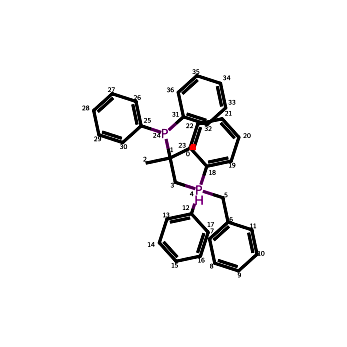 CC(C)(C[PH](Cc1ccccc1)(c1ccccc1)c1ccccc1)P(c1ccccc1)c1ccccc1